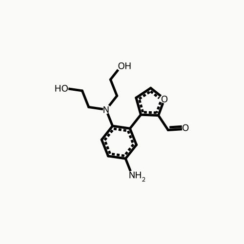 Nc1ccc(N(CCO)CCO)c(-c2ccoc2C=O)c1